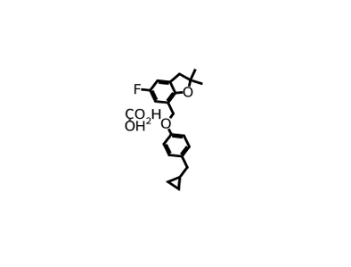 CC1(C)Cc2cc(F)cc(COc3ccc(CC4CC4)cc3)c2O1.O=C(O)O